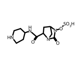 O=C(NC1CCNCC1)C1CC2CN1C(=O)N2OS(=O)(=O)O